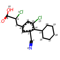 N#Cc1cc(CC(Cl)C(=O)O)cc(Cl)c1C1CCCCC1